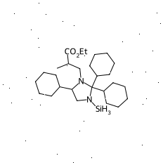 CCOC(=O)C(C)CN1C(C2CCCCC2)CN([SiH3])C1(C1CCCCC1)C1CCCCC1